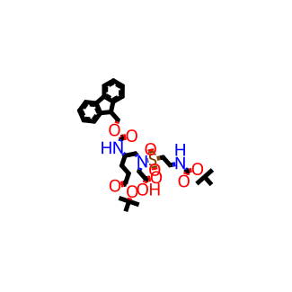 CC(C)(C)OC(=O)CCC(CN(CC(=O)O)S(=O)(=O)CCNC(=O)OC(C)(C)C)NC(=O)OCC1c2ccccc2-c2ccccc21